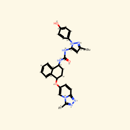 CC(C)c1nnc2ccc(OC3CCC(NC(=O)Nc4cc(C(C)(C)C)nn4-c4ccc(O)cc4)c4ccccc43)cn12